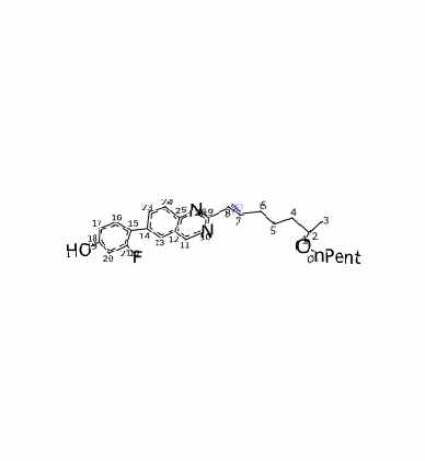 CCCCCOC(C)CCC/C=C/c1ncc2cc(-c3ccc(O)cc3F)ccc2n1